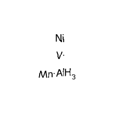 [AlH3].[Mn].[Ni].[V]